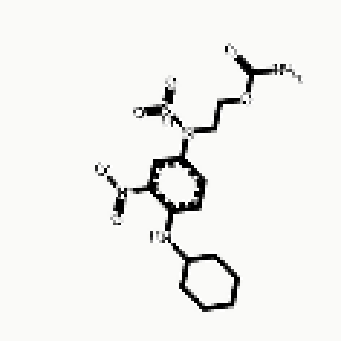 NC(=O)OCCN(c1ccc(NC2CCCCC2)c([N+](=O)[O-])c1)[SH](=O)=O